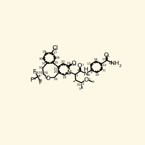 CO[C@@H](C)CC(C(=O)Nc1ccc(C(N)=O)cc1)n1cc2c(cc1=O)-c1cc(Cl)ccc1C[C@@H](C(F)(F)F)OC2